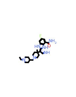 CCN1CCC(CN2CCC(C)(/C(C=N)=C3\Nc4cc(F)cc(C(N)=O)c4N3)CC2)CC1